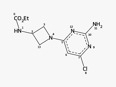 CCOC(=O)NC1CN(c2cc(Cl)nc(N)n2)C1